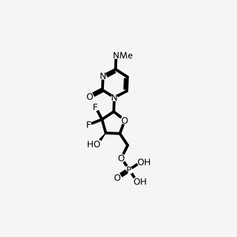 CNc1ccn(C2OC(COP(=O)(O)O)[C@@H](O)C2(F)F)c(=O)n1